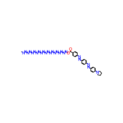 CN=NN=NN=NN=NN=NN=NN=NN=NN=NN=NOC(=O)c1ccc(N=Nc2ccc(N=Nc3ccc(N4CCCC4)cc3)cc2)cc1